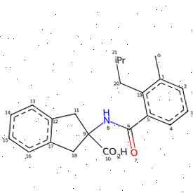 Cc1cccc(C(=O)NC2(C(=O)O)Cc3ccccc3C2)c1CC(C)C